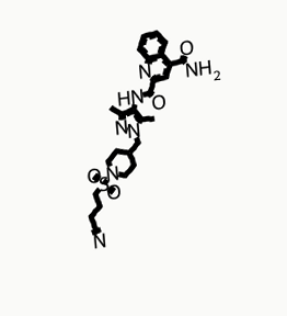 Cc1nn(CC2CCN(S(=O)(=O)CCCC#N)CC2)c(C)c1NC(=O)c1cc(C(N)=O)c2ccccc2n1